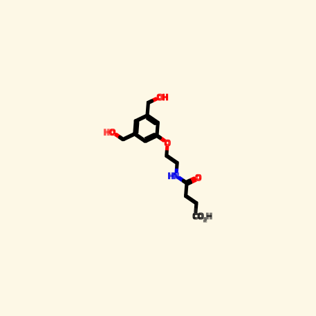 O=C(O)CCC(=O)NCCOc1cc(CO)cc(CO)c1